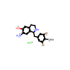 COc1c(Br)cc(CC2NCCc3cc(O)c(N)cc32)cc1Br.Cl